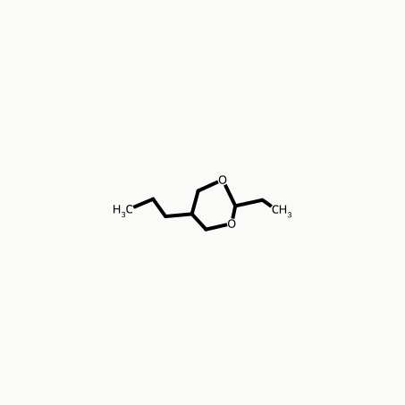 CCCC1COC(CC)OC1